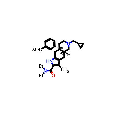 CCN(CC)C(=O)c1[nH]c2c(c1C)C[C@H]1CN(CC3CC3)CC[C@]1(c1cccc(OC)c1)C2